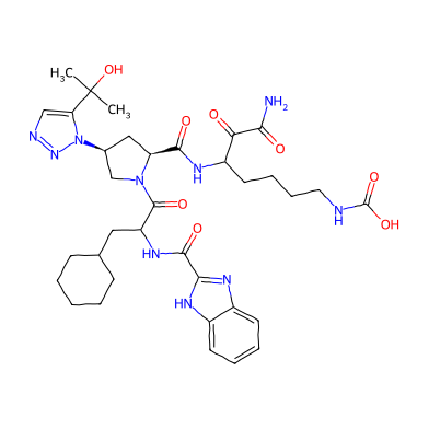 CC(C)(O)c1cnnn1[C@H]1C[C@@H](C(=O)NC(CCCCNC(=O)O)C(=O)C(N)=O)N(C(=O)C(CC2CCCCC2)NC(=O)c2nc3ccccc3[nH]2)C1